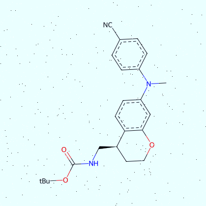 CN(c1ccc(C#N)cc1)c1ccc2c(c1)OCC[C@H]2CNC(=O)OC(C)(C)C